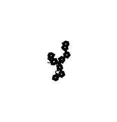 c1cc(-c2ccc(N(c3ccc(-c4cccc5c4sc4ccccc45)cc3)c3ccc4sc5ccccc5c4c3)cc2)cc(-c2ccc3ccccc3c2)c1